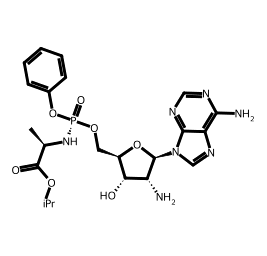 CC(C)OC(=O)[C@@H](C)N[P@](=O)(OC[C@H]1O[C@@H](n2cnc3c(N)ncnc32)[C@H](N)[C@@H]1O)Oc1ccccc1